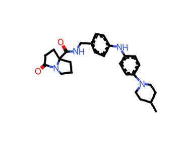 CC1CCN(c2ccc(Nc3ccc(CNC(=O)C45CCCN4C(=O)CC5)cc3)cc2)CC1